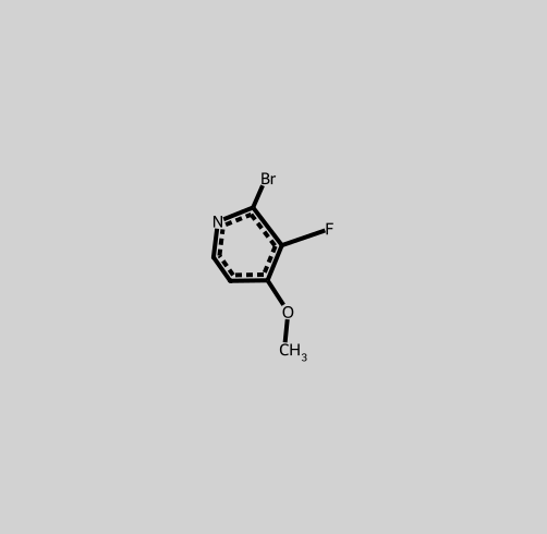 COc1ccnc(Br)c1F